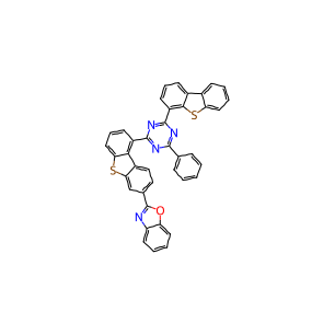 c1ccc(-c2nc(-c3cccc4c3sc3ccccc34)nc(-c3cccc4sc5cc(-c6nc7ccccc7o6)ccc5c34)n2)cc1